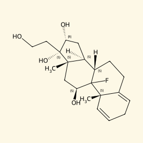 C[C@]12C=CCC=C1CC[C@H]1[C@@H]3C[C@@H](O)[C@](O)(CCO)[C@@]3(C)C[C@H](O)C12F